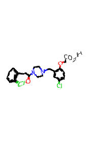 O=C(O)COc1ccc(Cl)cc1CN1CCN(C(=O)Cc2ccccc2Cl)CC1